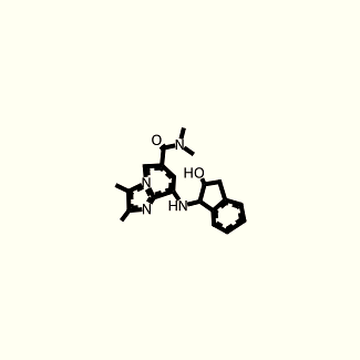 Cc1nc2c(NC3c4ccccc4CC3O)cc(C(=O)N(C)C)cn2c1C